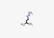 CN=NCCC(C)C